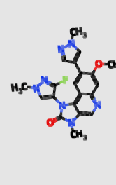 COc1cc2ncc3c(c2cc1-c1cnn(C)c1)n(-c1cn(C)nc1F)c(=O)n3C